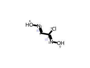 O/N=C(Cl)/C=N/O